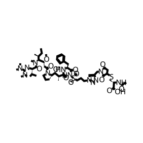 CC[C@H](C)[C@@H]([C@@H](CC(=O)N1CCC[C@H]1[C@H](OC)[C@@H](C)C(=O)N[C@@H](Cc1ccccc1)C(=O)NS(=O)(=O)CCCn1cc(CN2C(=O)CC(SC[C@H](NC(C)=O)C(=O)O)C2=O)nn1)OC)N(C)C(=O)[C@@H](N=C(N(C)C)N(C)C)C(C)C